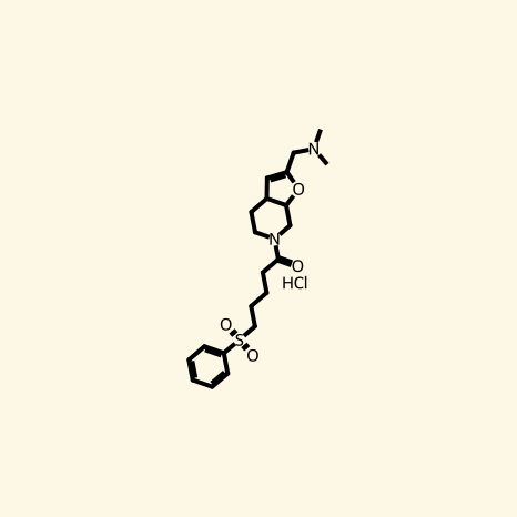 CN(C)CC1=CC2CCN(C(=O)CCCCS(=O)(=O)c3ccccc3)CC2O1.Cl